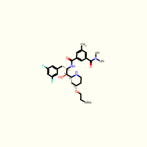 CCCN(CCC)C(=O)c1cc(C)cc(C(=O)N[C@@H](Cc2cc(F)cc(F)c2)[C@H](O)[C@H]2C[C@@H](OCCNC)CCN2)c1